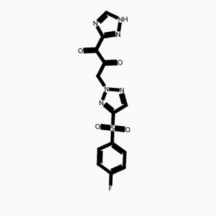 O=C(Cn1ncc(S(=O)(=O)c2ccc(F)cc2)n1)C(=O)c1nc[nH]n1